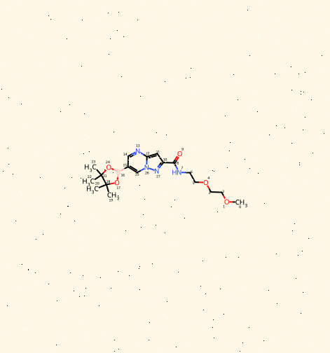 COCCOCCNC(=O)c1cc2ncc(B3OC(C)(C)C(C)(C)O3)cn2n1